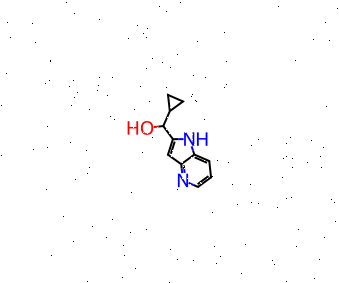 OC(c1cc2ncccc2[nH]1)C1CC1